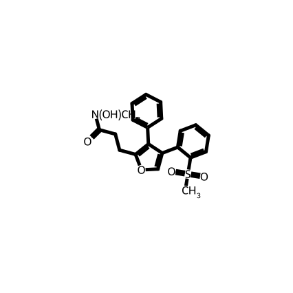 CN(O)C(=O)CCc1occ(-c2ccccc2S(C)(=O)=O)c1-c1ccccc1